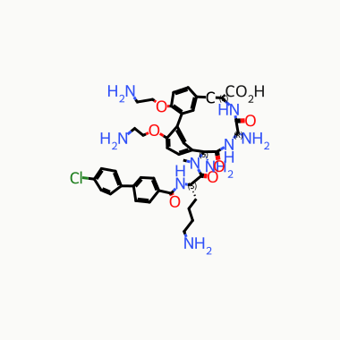 CN(C(=O)[C@H](CCCCN)NC(=O)c1ccc(-c2ccc(Cl)cc2)cc1)[C@]1(N)C(=O)N[C@@H](N)C(=O)N[C@H](C(=O)O)Cc2ccc(OCCN)c(c2)-c2cc1ccc2OCCN